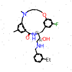 CCc1cccc(CNC[C@@H](O)[C@@H]2Cc3cc(F)cc(c3)OCCCCN(C)Cc3cc(C)cc(c3)C(=O)N2)c1